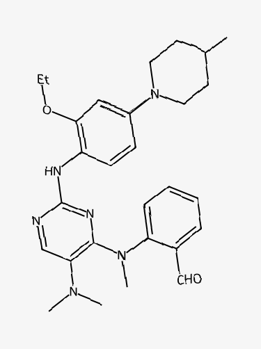 CCOc1cc(N2CCC(C)CC2)ccc1Nc1ncc(N(C)C)c(N(C)c2ccccc2C=O)n1